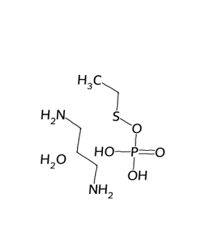 CCSOP(=O)(O)O.NCCCN.O